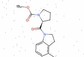 C#Cc1cccc2c1CCN2C(=O)[C@@H]1CCCN1C(=O)OC(C)(C)C